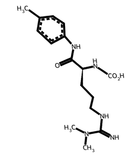 Cc1ccc(NC(=O)[C@H](CCCNC(=N)N(C)C)NC(=O)O)cc1